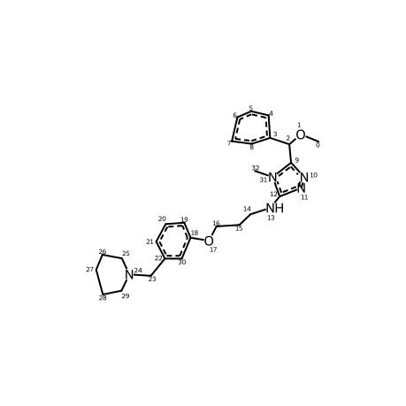 COC(c1ccccc1)c1nnc(NCCCOc2cccc(CN3CCCCC3)c2)n1C